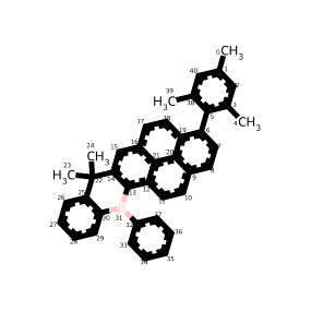 Cc1cc(C)c(-c2ccc3ccc4c5c(cc6ccc2c3c64)C(C)(C)c2ccccc2B5c2ccccc2)c(C)c1